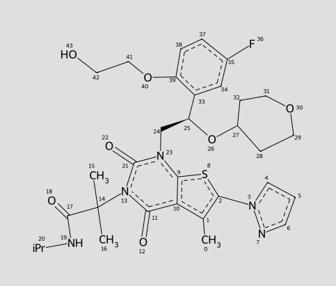 Cc1c(-n2cccn2)sc2c1c(=O)n(C(C)(C)C(=O)NC(C)C)c(=O)n2C[C@H](OC1CCOCC1)c1cc(F)ccc1OCCO